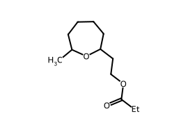 CCC(=O)OCCC1CCCCC(C)O1